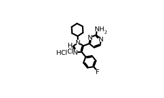 Cl.Cl.Nc1nccc(-c2c(-c3ccc(F)cc3)ncn2C2CCCCC2)n1